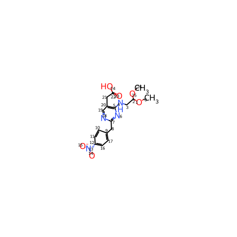 COC(CNc1nc(Cc2ccc([N+](=O)[O-])cc2)ncc1CC(=O)O)OC